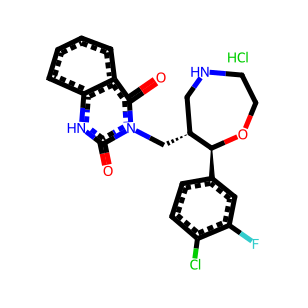 Cl.O=c1[nH]c2ccccc2c(=O)n1C[C@@H]1CNCCO[C@H]1c1ccc(Cl)c(F)c1